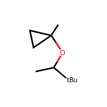 CC(OC1(C)CC1)C(C)(C)C